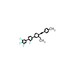 CCc1cc(-c2ccc(-c3cc(F)c(F)c(F)c3)c(F)c2)ccc1C#Cc1ccc(C)cc1